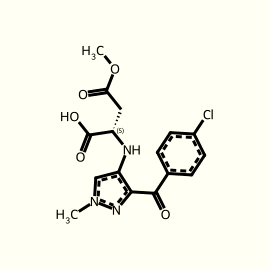 COC(=O)C[C@H](Nc1cn(C)nc1C(=O)c1ccc(Cl)cc1)C(=O)O